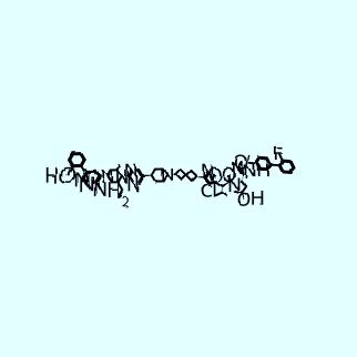 CCC1CN(c2cc(-c3ccccc3O)nnc2N)CC(C)N1c1ncc(C2CCN([C@H]3CC4(C[C@H](c5noc([C@H](C(=O)N6C[C@H](O)C[C@H]6C6=NO[C@](C)(c7ccc(-c8ccccc8F)cc7)N6)C(C)C)c5Cl)C4)C3)CC2)cn1